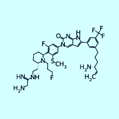 C=C[C@H](N)CCCc1cc(-c2cc3cn(-c4cc(F)c([C@@H]5CCC[C@@H](CCNC(=N)CN)N5CCCF)c(SC)c4)c(=O)nc3[nH]2)cc(C(F)(F)F)c1